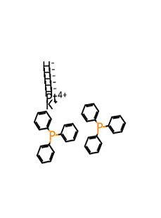 [H-].[H-].[H-].[H-].[H-].[K+].[Pt+4].c1ccc(P(c2ccccc2)c2ccccc2)cc1.c1ccc(P(c2ccccc2)c2ccccc2)cc1